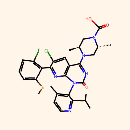 CSc1cccc(F)c1-c1nc2c(cc1Cl)c(N1C[C@@H](C)N(C(=O)O)C[C@@H]1C)nc(=O)n2-c1c(C)ccnc1C(C)C